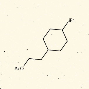 CC(=O)OCCC1CCC(C(C)C)CC1